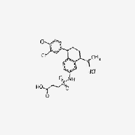 CNC1CCC(c2ccc(Cl)c(Cl)c2)c2ccc(NS(=O)(=O)CCC(=O)O)cc21.Cl